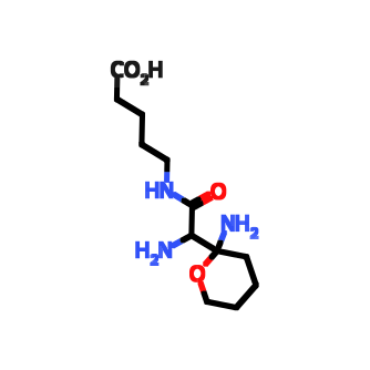 NC(C(=O)NCCCCC(=O)O)C1(N)CCCCO1